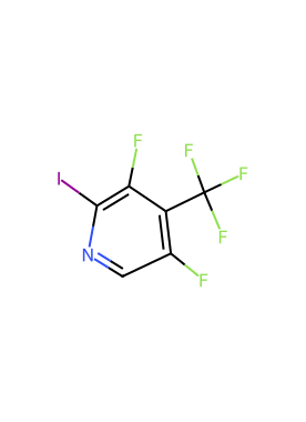 Fc1cnc(I)c(F)c1C(F)(F)F